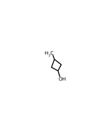 [CH2]C1CC(O)C1